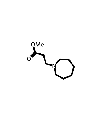 COC(=O)CCN1CCCCCC1